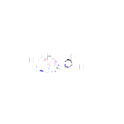 Cc1cc(C)cc(C[C@H](N)C(=O)N(CC#N)C(=O)OC(C)(C)C)c1